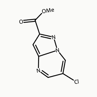 COC(=O)c1cc2ncc(Cl)cn2n1